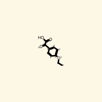 CCOc1ccc(C(=O)C(=O)O)cc1